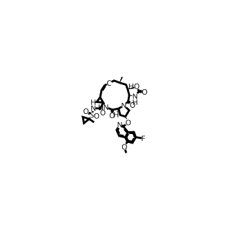 COc1cc(F)cc2c(O[C@@H]3C[C@H]4C(=O)NC5(C(=O)NS(=O)(=O)C6(C)CC6)CC5/C=C\CC[C@@H](C)C[C@@H](C)[C@H](NC(=O)O)C(=O)N4C3)nccc12